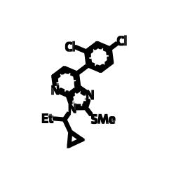 CCC(C1CC1)n1c(SC)nc2c(-c3ccc(Cl)cc3Cl)ccnc21